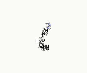 C/C=C\C=C(/C)N1CCN(CCCC(=O)Nc2ccc3c(c2)NC(=O)CO3)CC1